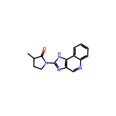 CC1CCN(c2nc3cnc4ccccc4c3[nH]2)C1=O